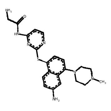 CN1CCN(c2ccc(Sc3nccc(NC(=O)CN)n3)c3ccc(N)cc23)CC1